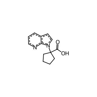 O=C(O)C1(n2ccc3cccnc32)CCCC1